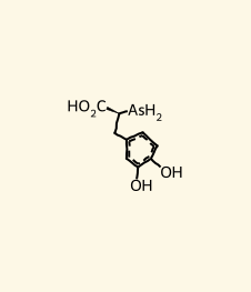 O=C(O)[C@@H]([AsH2])Cc1ccc(O)c(O)c1